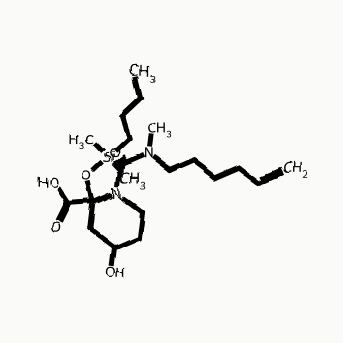 C=CCCCCN(C)C(=O)N1CCC(O)CC1(O[Si](C)(C)CCCC)C(=O)O